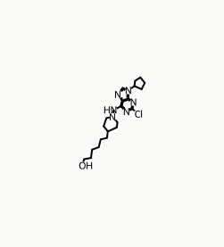 OCCCCCCC1CCN(Nc2nc(Cl)nc3c2ncn3C2CCCC2)CC1